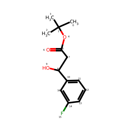 CC(C)(C)OC(=O)CC(O)c1cccc(F)c1